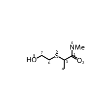 CNC(=O)C(C)SCCO